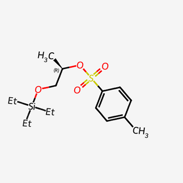 CC[Si](CC)(CC)OC[C@@H](C)OS(=O)(=O)c1ccc(C)cc1